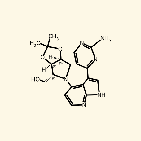 CC1(C)O[C@H]2[C@H](CN(c3ccnc4[nH]cc(-c5ccnc(N)n5)c34)[C@@H]2CO)O1